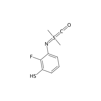 CS(C)(=C=O)=Nc1cccc(S)c1F